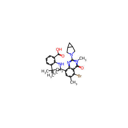 Cc1cc(C(C)Nc2c(C(=O)O)cccc2C(C)(C)C)c2nc(N3CC4CC4C3)n(C)c(=O)c2c1Br